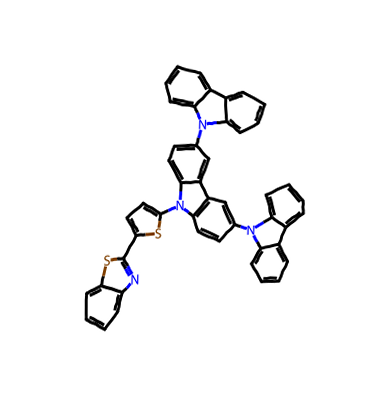 c1ccc2sc(-c3ccc(-n4c5ccc(-n6c7ccccc7c7ccccc76)cc5c5cc(-n6c7ccccc7c7ccccc76)ccc54)s3)nc2c1